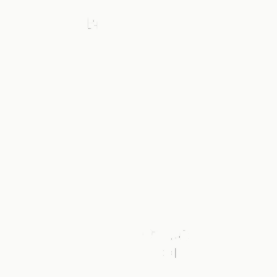 O=C(O)C(=O)CCCCCCCCCCCCCCCCCBr